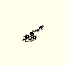 CNC(=O)/C=C/CNCCCc1ccc(/C(=C(\c2ccccc2)C(C)C)c2ccc(C)c(C(=N)F)c2)cc1